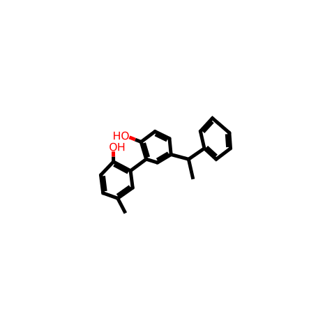 Cc1ccc(O)c(-c2cc(C(C)c3ccccc3)ccc2O)c1